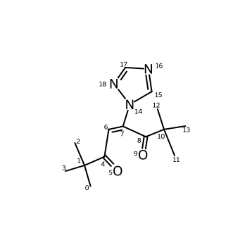 CC(C)(C)C(=O)C=C(C(=O)C(C)(C)C)n1cncn1